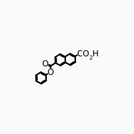 O=C(O)c1ccc2cc(C(=O)Oc3ccccc3)ccc2c1